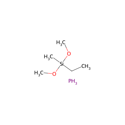 CC[Si](C)(OC)OC.P